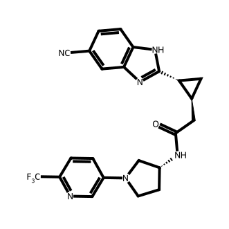 N#Cc1ccc2[nH]c([C@@H]3C[C@H]3CC(=O)N[C@@H]3CCN(c4ccc(C(F)(F)F)nc4)C3)nc2c1